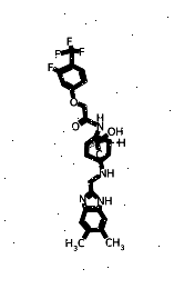 Cc1cc2nc(CNC34CCC(NC(=O)COc5ccc(C(F)(F)F)c(F)c5)(CC3)[C@@H](O)C4)[nH]c2cc1C